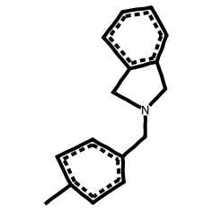 Cc1ccc(CN2Cc3ccccc3C2)cc1